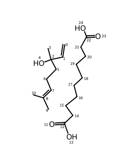 C=CC(C)(O)CCC=C(C)C.O=C(O)CCCCCCCCC(=O)O